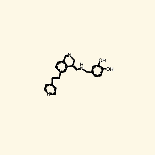 Oc1ccc(CNC=C2CN=Cc3ccc(C=Cc4ccncc4)cc32)cc1O